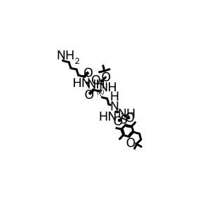 Cc1c(C)c(S(=O)(=O)NC(=N)NCCC[C@@H](NC(=O)OC(C)(C)C)C(=O)NNC(=O)CCCCCN)c(C)c2c1OC(C)(C)CC2